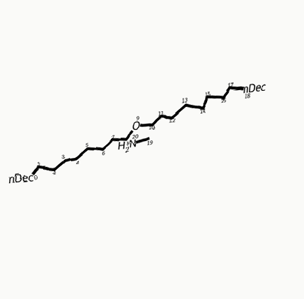 CCCCCCCCCCCCCCCCCCOCCCCCCCCCCCCCCCCCC.CN